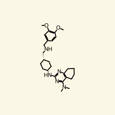 COc1ccc(CNC[C@H]2CC[C@@H](Nc3nc4c(c(N(C)C)n3)CCCC4)CC2)cc1OC